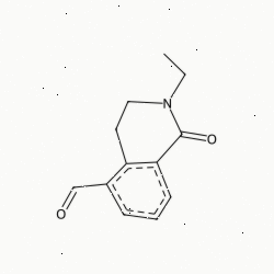 CCN1CCc2c(C=O)cccc2C1=O